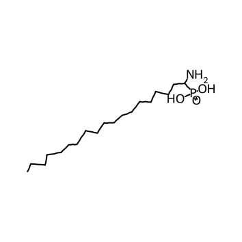 CCCCCCCCCCCCCCCCCCC(N)P(=O)(O)O